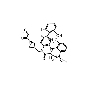 C=CC(=O)N1CC(CN2C(=O)C(O)N(c3c(C)cccc3C(C)C)c3cc(-c4c(O)cccc4F)c(F)cc32)C1